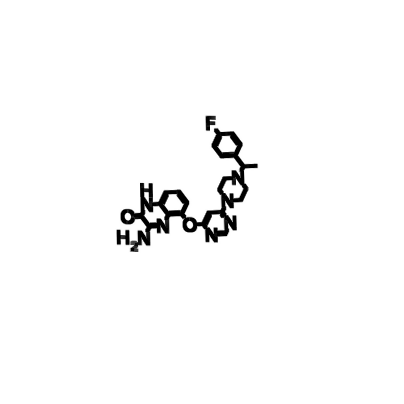 CC(c1ccc(F)cc1)N1CCN(c2cc(Oc3cccc4[nH]c(=O)c(N)nc34)ncn2)CC1